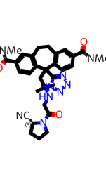 CNC(=O)c1ccc2c(c1)CCc1cc(C(=O)NC)ccc1C2(CC(C)(C)NCC(=O)N1CCC[C@H]1C#N)c1nnn[nH]1